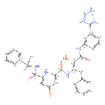 CC(C)(NC(=O)c1cc(=O)cc(C(=O)NC(Cc2ccccc2)[C@H](O)C(=O)Nc2cccc(-c3nn[nH]n3)c2)[nH]1)c1ccccc1